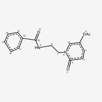 CC(=O)Oc1ccc(=O)n(CCNC(=O)c2ccccc2)c1